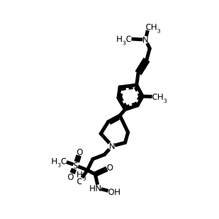 Cc1cc(C2=CCN(CCC(C)(C(=O)NO)S(C)(=O)=O)CC2)ccc1C#CCN(C)C